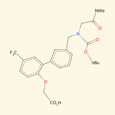 CCCCOC(=O)N(CC(=O)NC)Cc1cccc(-c2cc(C(F)(F)F)ccc2OCC(=O)O)c1